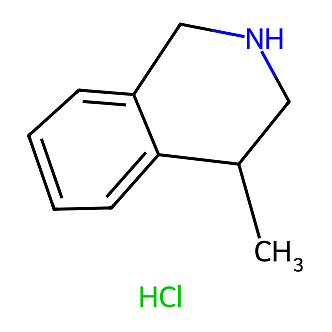 CC1CNCc2ccccc21.Cl